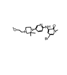 COCCN1CCN(c2ccc(Nc3cc(Br)cn(C)c3=O)nc2)C(C)(C)C1